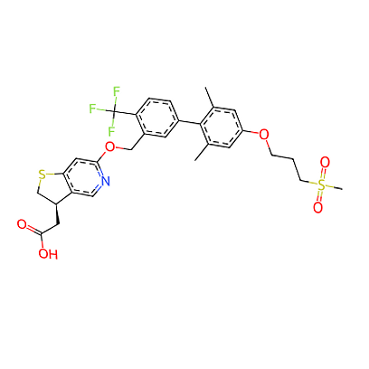 Cc1cc(OCCCS(C)(=O)=O)cc(C)c1-c1ccc(C(F)(F)F)c(COc2cc3c(cn2)[C@@H](CC(=O)O)CS3)c1